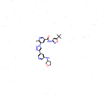 Cc1ncc(C(=O)Nc2cc(C(C)(C)C)on2)cc1-n1cc(-c2cncc(NC3CCOC3)c2)nn1